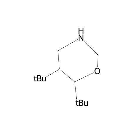 CC(C)(C)C1CNCOC1C(C)(C)C